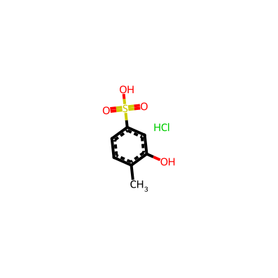 Cc1ccc(S(=O)(=O)O)cc1O.Cl